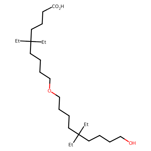 CCC(CC)(CCCCO)CCCCOCCCCC(CC)(CC)CCCC(=O)O